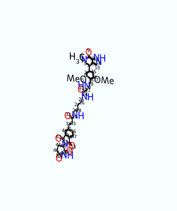 COc1cc(-c2cn(C)c(=O)c3[nH]ncc23)cc(OC)c1CNCC(=O)NCCCCCNC(=O)CCc1ccc2c(c1)C(=O)N(C1CCC(=O)NC1=O)C2=O